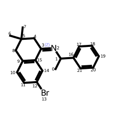 CC(/N=C1/CC(C)(C)Cc2ccc(Br)cc21)c1ccccc1